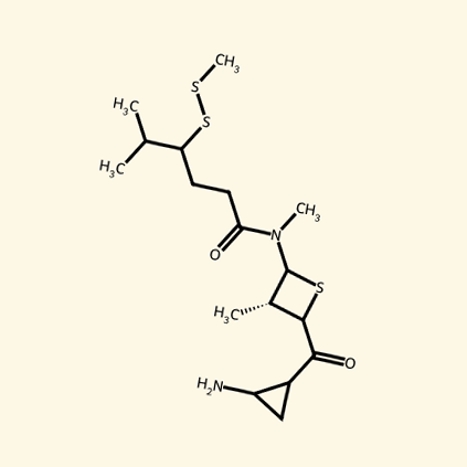 CSSC(CCC(=O)N(C)C1SC(C(=O)C2CC2N)[C@@H]1C)C(C)C